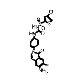 Nc1cc2ccn(-c3ccc(NC(=O)NS(=O)(=O)c4cc(Cl)cs4)cc3)c(=O)c2cc1F